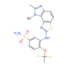 CCn1c(C)nc2ccc3sc(Nc4cc(S(N)(=O)=O)ccc4OC(C)(F)F)nc3c21